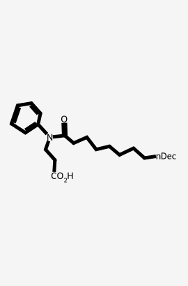 CCCCCCCCCCCCCCCCCC(=O)N(CCC(=O)O)c1ccccc1